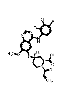 C=CC(=O)N1CC[C@](C)(Oc2cc3c(Nc4ccc(F)c(Cl)c4F)ncnc3cc2OC)C[C@H]1C(=O)O